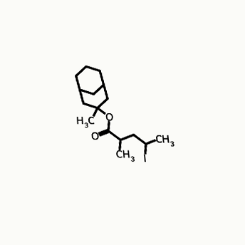 CC(I)CC(C)C(=O)OC1(C)CC2CCCC(C2)C1